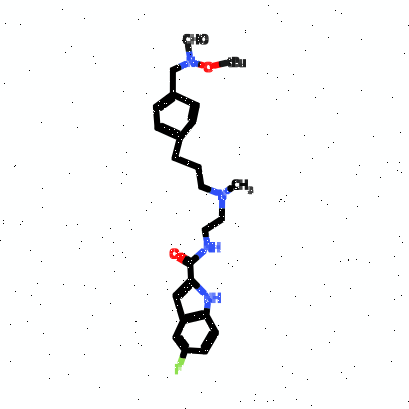 CN(CCCc1ccc(CN(C=O)OC(C)(C)C)cc1)CCNC(=O)c1cc2cc(F)ccc2[nH]1